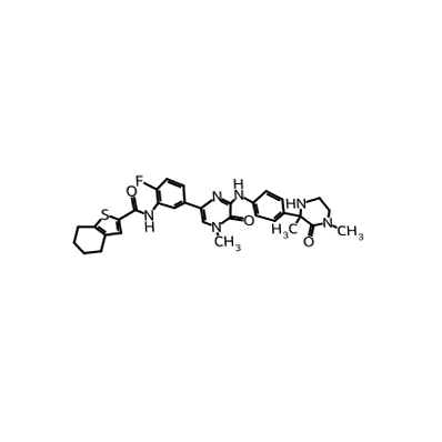 CN1CCNC(C)(c2ccc(Nc3nc(-c4ccc(F)c(NC(=O)c5cc6c(s5)CCCC6)c4)cn(C)c3=O)cc2)C1=O